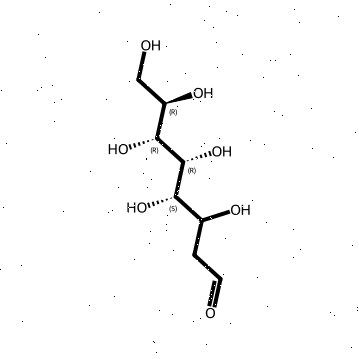 O=CCC(O)[C@H](O)[C@@H](O)[C@H](O)[C@H](O)CO